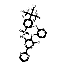 [2H]C([2H])([2H])C(c1ccc(S(=O)(=O)Nc2nc(-c3ncccn3)nc(Cl)c2Oc2ccccc2OC)cc1)(C([2H])([2H])[2H])C([2H])([2H])[2H]